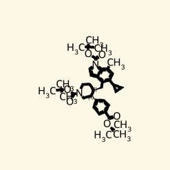 Cc1cc(C2CC2)c(C[C@@H]2CCN(C(=O)OC(C)(C)C)C[C@H]2c2ccc(C(=O)OC(C)(C)C)cc2)c2ccn(C(=O)OC(C)(C)C)c12